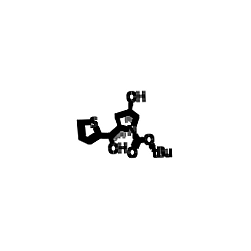 CC(C)(C)OC(=O)N1C[C@H](O)C[C@@H]1[C@@H](O)c1cccs1